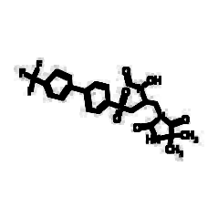 CC1(C)NC(=O)N(CC(CS(=O)(=O)c2ccc(-c3ccc(C(F)(F)F)cc3)cc2)N(O)C=O)C1=O